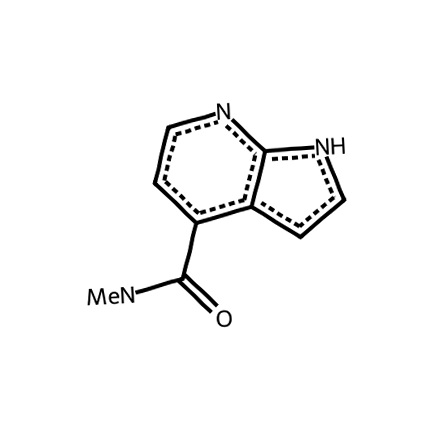 CNC(=O)c1ccnc2[nH]ccc12